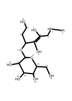 CC(C)NC/C(O)=C(\O)C(CCO)OC1OC(CO)C(O)C(O)C1O